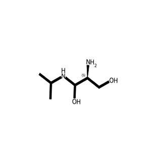 CC(C)NC(O)[C@@H](N)CO